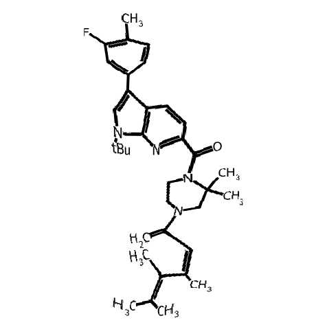 C=C(/C=C(/C)C(C)=C(C)C)N1CCN(C(=O)c2ccc3c(-c4ccc(C)c(F)c4)cn(C(C)(C)C)c3n2)C(C)(C)C1